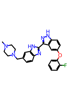 CN1CCN(Cc2ccc3nc(-c4n[nH]c5ccc(Oc6ccccc6F)cc45)[nH]c3c2)CC1